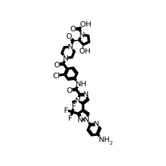 Cn1c(-c2cn(-c3ccc(N)cn3)nc2C(F)(F)F)cnc1C(=O)Nc1ccc(C(=O)N2CCN(C(=O)[C@@H]3[C@@H](O)CCN3C(=O)O)CC2)c(Cl)c1